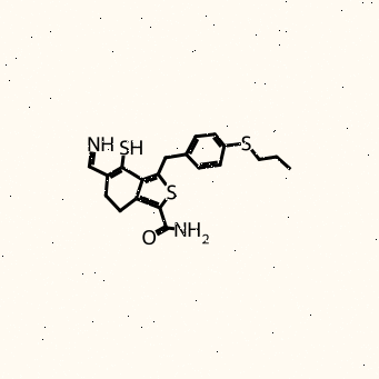 CCCSc1ccc(Cc2sc(C(N)=O)c3c2C(S)=C(C=N)CC3)cc1